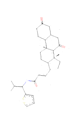 CC(C)C(NC(=O)C[C@@H](C)[C@H]1CC[C@H]2[C@@H]3C(=O)C[C@@H]4CC(=O)CC[C@]4(C)[C@H]3CC[C@]12C)c1cccs1